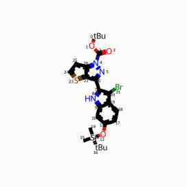 CC(C)(C)OC(=O)n1nc(-c2[nH]c3cc(O[Si](C)(C)C(C)(C)C)ccc3c2Br)c2sccc21